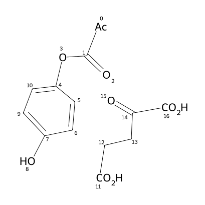 CC(=O)C(=O)Oc1ccc(O)cc1.O=C(O)CCC(=O)C(=O)O